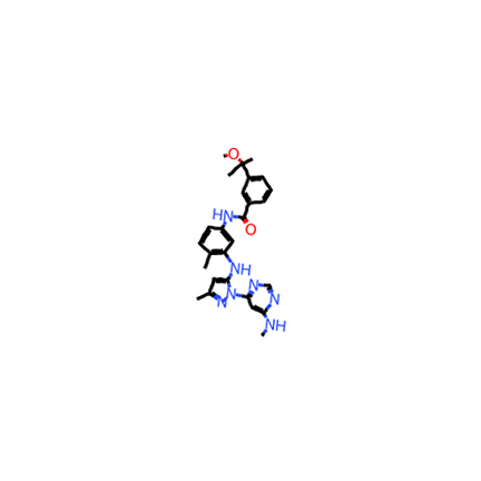 CNc1cc(-n2nc(C)cc2Nc2cc(NC(=O)c3cccc(C(C)(C)OC)c3)ccc2C)ncn1